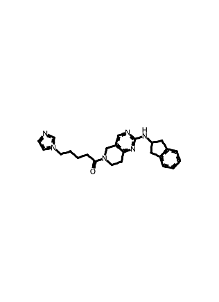 O=C(CCCCn1ccnc1)N1CCc2nc(NC3Cc4ccccc4C3)ncc2C1